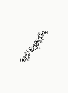 Cc1cc(OC(=O)c2ccc3cc(O)ccc3c2)ccc1OC(=O)c1ccc2cc(O)ccc2c1